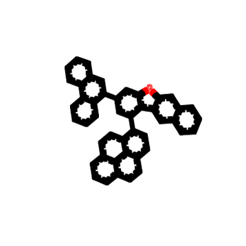 c1ccc2cc3c(cc2c1)oc1cc(-c2cc4ccccc4c4ccccc24)cc(-c2ccc4ccc5cccc6ccc2c4c56)c13